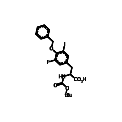 CC(C)(C)OC(=O)NC(Cc1cc(F)c(OCc2ccccc2)c(I)c1)C(=O)O